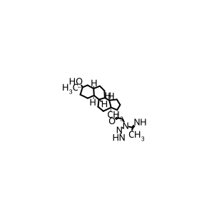 CC(=N)N(CC(=O)[C@H]1CC[C@H]2[C@@H]3CC[C@@H]4C[C@](C)(O)CC[C@@H]4[C@H]3CC[C@]12C)N=N